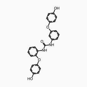 O=C(Nc1cccc(Oc2ccc(O)cc2)c1)Nc1ccccc1Oc1ccc(O)cc1